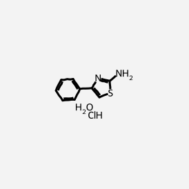 Cl.Nc1nc(-c2ccccc2)cs1.O